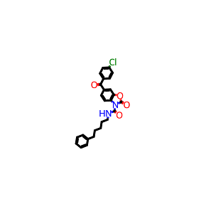 O=C(c1ccc(Cl)cc1)c1ccc2c(c1)oc(=O)n2C(=O)NCCCCCc1ccccc1